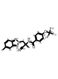 Cc1ccc2nn(CC(C)(C#N)NC(=O)c3ccc(OC(F)(F)F)cc3)nc2c1